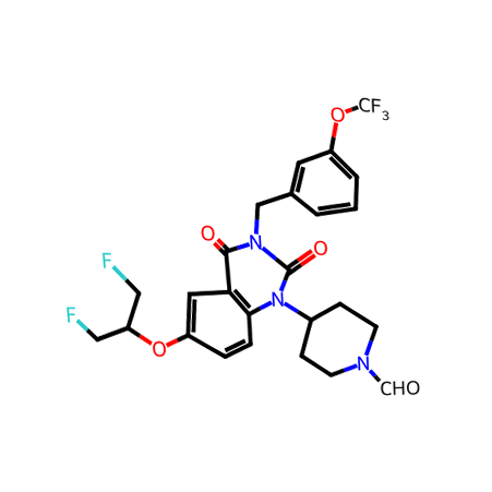 O=CN1CCC(n2c(=O)n(Cc3cccc(OC(F)(F)F)c3)c(=O)c3cc(OC(CF)CF)ccc32)CC1